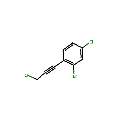 ClCC#Cc1ccc(Cl)cc1Br